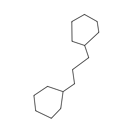 C1CCC(CCCC2CCCCC2)CC1